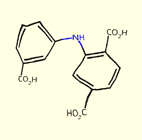 O=C(O)c1cccc(Nc2cc(C(=O)O)ccc2C(=O)O)c1